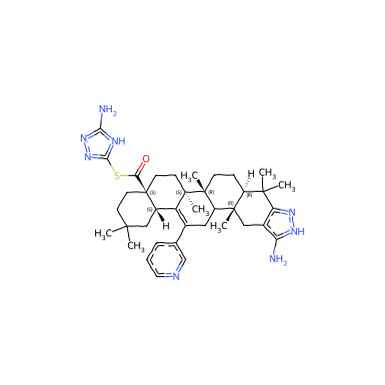 CC1(C)CC[C@]2(C(=O)Sc3nnc(N)[nH]3)CC[C@]3(C)C(=C(c4cccnc4)CC4[C@@]5(C)Cc6c(n[nH]c6N)C(C)(C)[C@@H]5CC[C@]43C)[C@@H]2C1